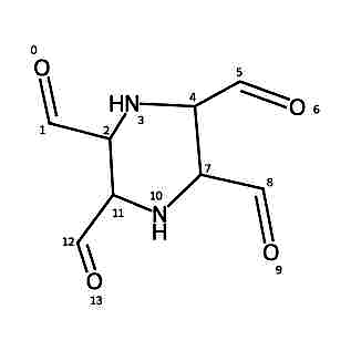 O=CC1NC(C=O)C(C=O)NC1C=O